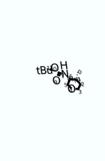 C[C@@H]1CCOC[C@H]1NC(=O)OC(C)(C)C